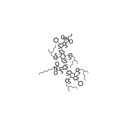 C=CCN1C(=O)c2sc3c(-c4cc5c(-c6ccc(CC(CC)CCCC)s6)c6sc(-c7sc(-c8cc9c(-c%10ccc(CC(CC)CCCC)s%10)c%10sc(-c%11ccccc%11)cc%10c(-c%10ccc(CC(CC)CCCC)s%10)c9s8)c8sc9c(c78)C(=O)N(CCCCCCCC)C9=O)cc6c(-c6ccc(CC(CC)CCCC)s6)c5s4)sc(-c4ccccc4)c3c2C1=O